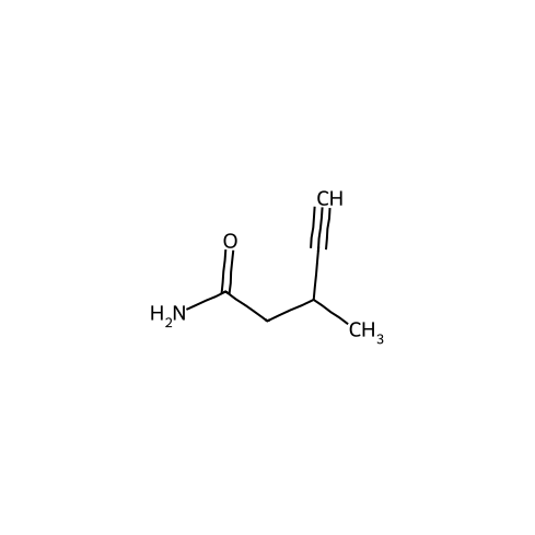 C#CC(C)CC(N)=O